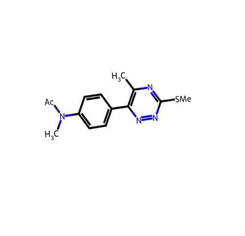 CSc1nnc(-c2ccc(N(C)C(C)=O)cc2)c(C)n1